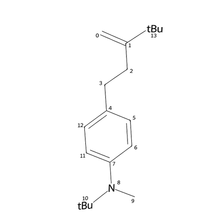 C=C(CCc1ccc(N(C)C(C)(C)C)cc1)C(C)(C)C